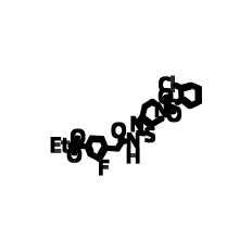 CCS(=O)(=O)c1ccc(CC(=O)Nc2nc3c(s2)CN(S(=O)(=O)c2ccccc2Cl)CC3)c(F)c1